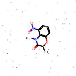 CC1Oc2cccc([N+](=O)[O-])c2N(C)C1=O